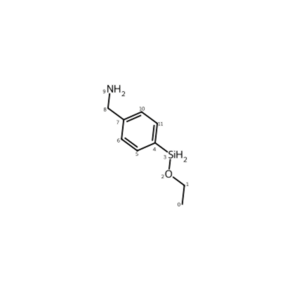 CCO[SiH2]c1ccc(CN)cc1